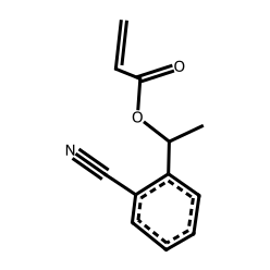 C=CC(=O)OC(C)c1ccccc1C#N